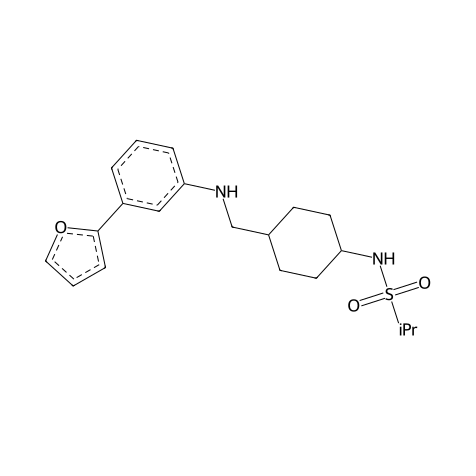 CC(C)S(=O)(=O)NC1CCC(CNc2cccc(-c3ccco3)c2)CC1